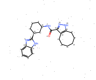 O=C(N[C@@H]1CCC[C@H](c2nc3ccccc3[nH]2)C1)c1n[nH]c2c1CCCCCC2